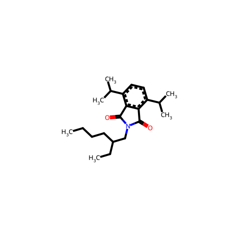 CCCCC(CC)CN1C(=O)c2c(C(C)C)ccc(C(C)C)c2C1=O